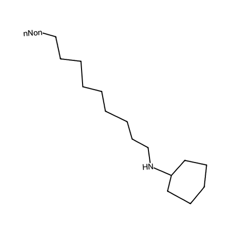 CCCCCCCCCCCCCCCCCCNC1CCCCC1